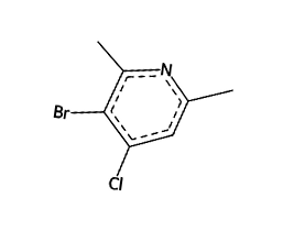 Cc1cc(Cl)c(Br)c(C)n1